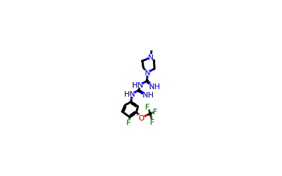 CN1CCN(C(=N)NC(=N)Nc2ccc(F)c(OC(F)(F)F)c2)CC1